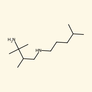 CC(C)CCCNCC(C)C(C)(C)N